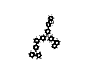 c1cc(-c2ccc(N(c3ccc(-c4ccc5c(c4)oc4ccccc45)cc3)c3ccc(-c4cccc5ccccc45)cc3)cc2)cc(-c2ccc(-n3c4ccccc4c4ccccc43)cc2)c1